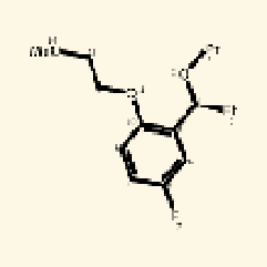 CC[C@H](OC(C)C)c1cc(F)ccc1OCCOC